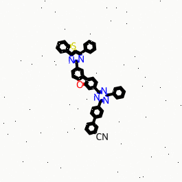 N#Cc1cccc(-c2ccc(-c3nc(-c4ccccc4)nc(-c4ccc5c(c4)oc4ccc(-c6nc(-c7ccccc7)c7sc8ccccc8c7n6)cc45)n3)cc2)c1